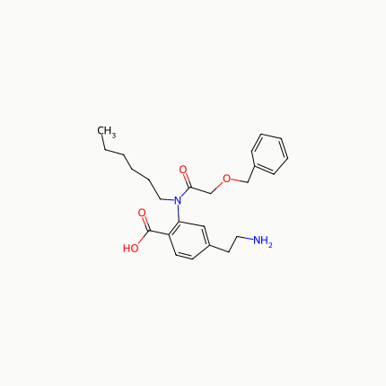 CCCCCCN(C(=O)COCc1ccccc1)c1cc(CCN)ccc1C(=O)O